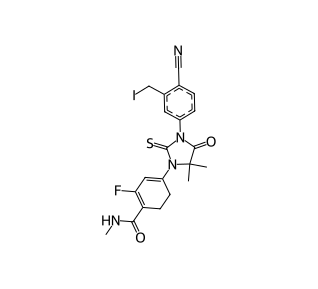 CNC(=O)C1=C(F)C=C(N2C(=S)N(c3ccc(C#N)c(CI)c3)C(=O)C2(C)C)CC1